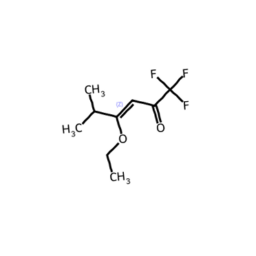 CCO/C(=C\C(=O)C(F)(F)F)C(C)C